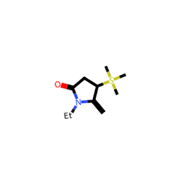 C=C1C(S(C)(C)C)CC(=O)N1CC